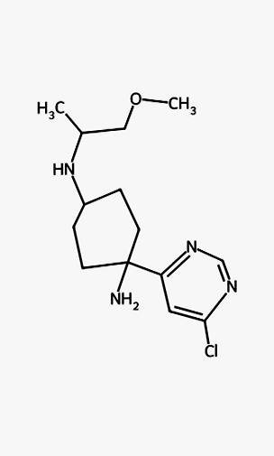 COCC(C)NC1CCC(N)(c2cc(Cl)ncn2)CC1